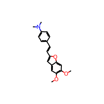 COc1cc2cc(/C=C/c3ccc(N(C)C)cc3)oc2cc1OC